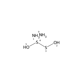 N.N.OSSO